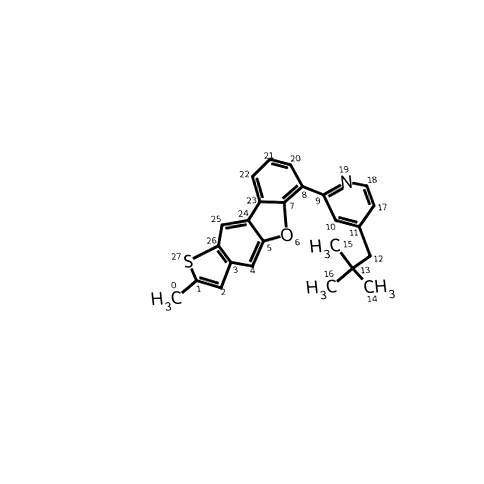 Cc1cc2cc3oc4c(-c5cc(CC(C)(C)C)ccn5)cccc4c3cc2s1